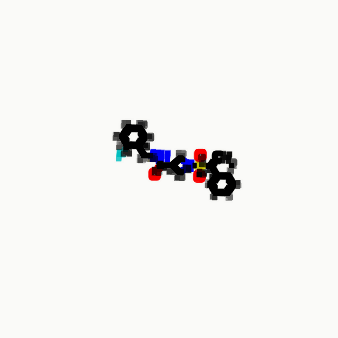 C=C(c1ccccc1)S(=O)(=O)N1CC(C(=O)NCc2ccccc2F)C1